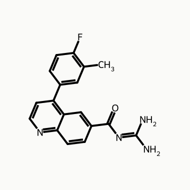 Cc1cc(-c2ccnc3ccc(C(=O)N=C(N)N)cc23)ccc1F